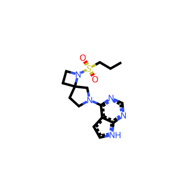 CCCS(=O)(=O)N1CCC12CCN(c1ncnc3[nH]ccc13)C2